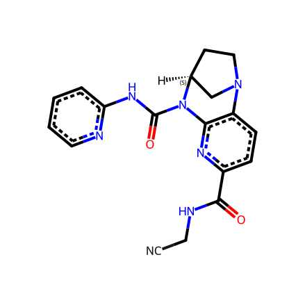 N#CCNC(=O)c1ccc2c(n1)N(C(=O)Nc1ccccn1)[C@H]1CCN2C1